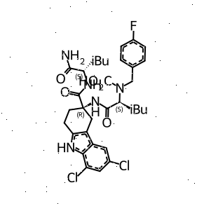 CCC(C)[C@H](NC(=O)[C@@]1(NC(=O)[C@H](C(C)CC)N(Cc2ccc(F)cc2)C(=O)O)CCc2[nH]c3c(Cl)cc(Cl)cc3c2C1)C(N)=O